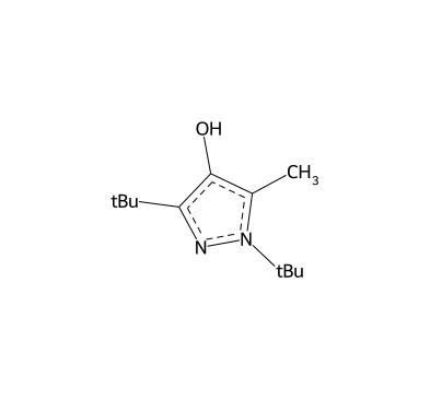 Cc1c(O)c(C(C)(C)C)nn1C(C)(C)C